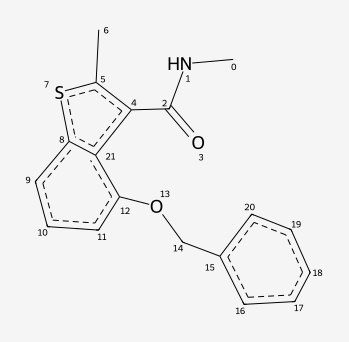 CNC(=O)c1c(C)sc2cccc(OCc3ccccc3)c12